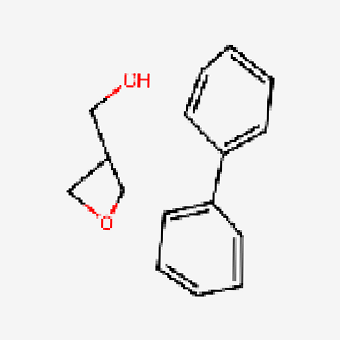 OCC1COC1.c1ccc(-c2ccccc2)cc1